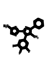 Cc1csc(-n2nc(-c3ccccc3)c(C)c2-c2cc(F)c(F)c(F)c2)n1